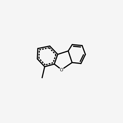 Cc1cccc2c1OC1C=CC=CC21